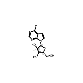 C[C@@]1(O)[C@H](O)[C@H](CO)S[C@@H]1n1ccc2c(Cl)ncnc21